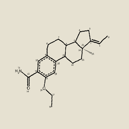 CC=C1CCC2C3CCc4cc(C(N)=O)c(OCC)cc4C3CC[C@]12C